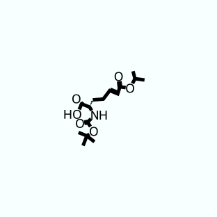 CC(C)OC(=O)/C=C/CC[C@H](NC(=O)OC(C)(C)C)C(=O)O